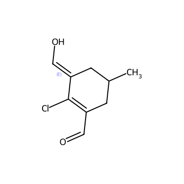 CC1CC(C=O)=C(Cl)/C(=C/O)C1